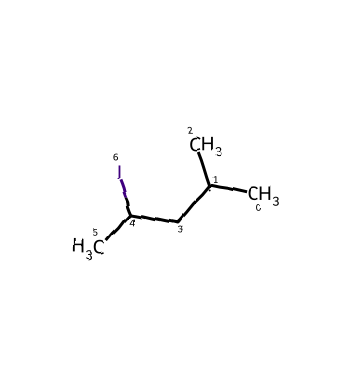 C[C](C)CC(C)I